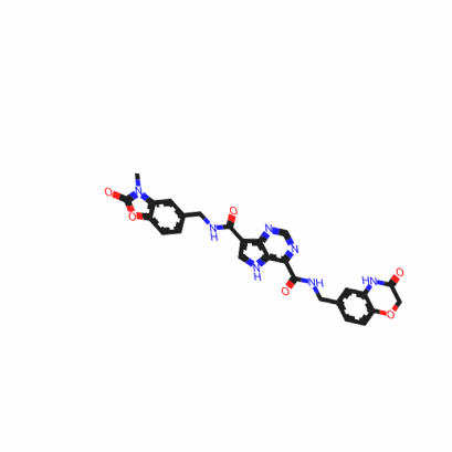 Cn1c(=O)oc2ccc(CNC(=O)c3c[nH]c4c(C(=O)NCc5ccc6c(c5)NC(=O)CO6)ncnc34)cc21